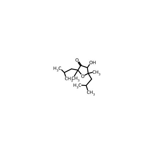 CC(C)CC1(C)OC(C)(CC(C)C)C(O)C1=O